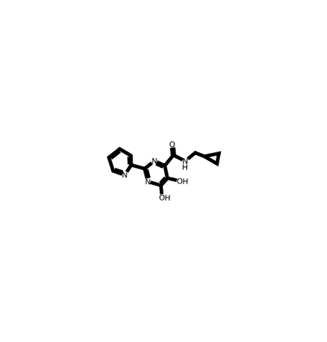 O=C(NCC1CC1)c1nc(-c2ccccn2)nc(O)c1O